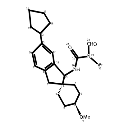 CO[C@H]1CC[C@]2(CC1)Cc1ccc(C3CCCC3)cc1C2NC(=O)N(C=O)C(C)C